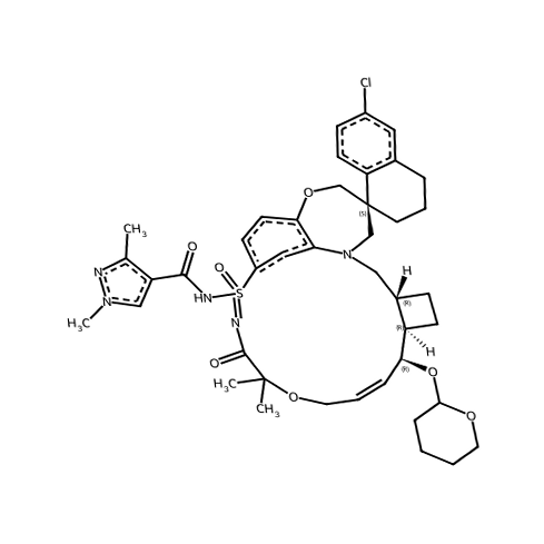 Cc1nn(C)cc1C(=O)NS1(=O)=NC(=O)C(C)(C)OCC=C[C@H](OC2CCCCO2)[C@@H]2CC[C@H]2CN2C[C@@]3(CCCc4cc(Cl)ccc43)COc3ccc1cc32